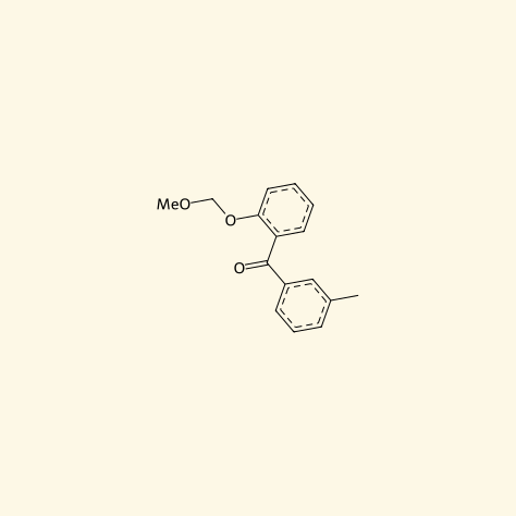 COCOc1ccccc1C(=O)c1cccc(C)c1